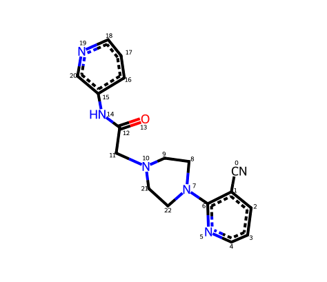 N#Cc1cccnc1N1CCN(CC(=O)Nc2cccnc2)CC1